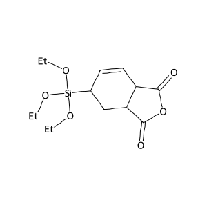 CCO[Si](OCC)(OCC)C1C=CC2C(=O)OC(=O)C2C1